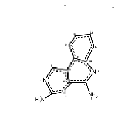 Nc1ncc2c(n1)c(N)nc1ccccc12